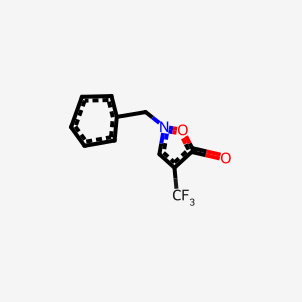 O=c1on(Cc2ccccc2)cc1C(F)(F)F